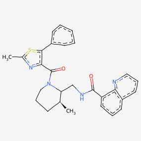 Cc1nc(C(=O)N2CCC[C@H](C)C2CNC(=O)c2cccc3cccnc23)c(-c2ccccc2)s1